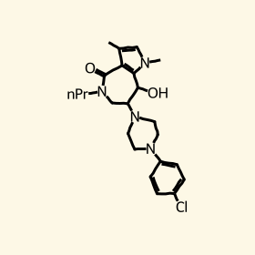 CCCN1CC(N2CCN(c3ccc(Cl)cc3)CC2)C(O)c2c(c(C)cn2C)C1=O